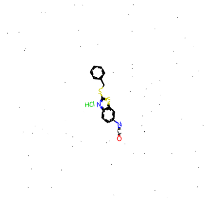 Cl.O=C=Nc1ccc2nc(SCc3ccccc3)sc2c1